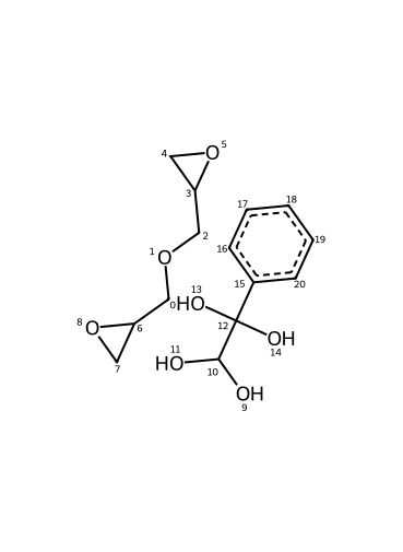 C(OCC1CO1)C1CO1.OC(O)C(O)(O)c1ccccc1